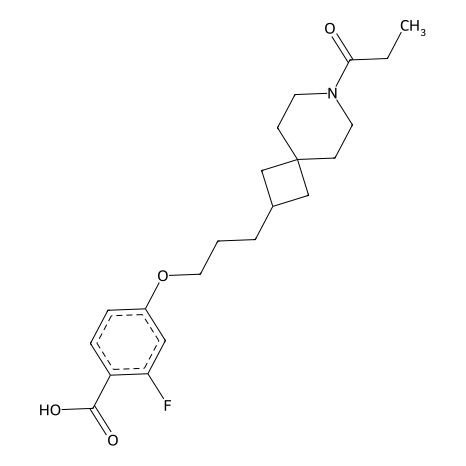 CCC(=O)N1CCC2(CC1)CC(CCCOc1ccc(C(=O)O)c(F)c1)C2